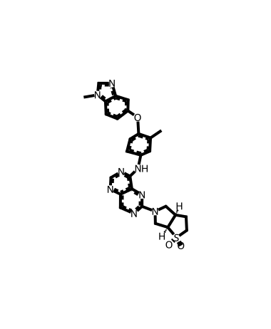 Cc1cc(Nc2ncnc3cnc(N4C[C@H]5CCS(=O)(=O)[C@H]5C4)nc23)ccc1Oc1ccc2c(c1)ncn2C